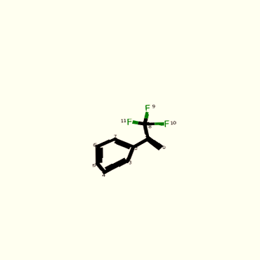 C=C(c1[c]cccc1)C(F)(F)F